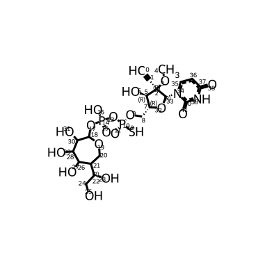 C#C[C@@]1(OC)[C@H](O)[C@@H](COP(=O)(S)OP(=O)(O)OC2OCC([C@@H](O)CO)C(O)C(O)C2O)O[C@H]1n1ccc(=O)[nH]c1=O